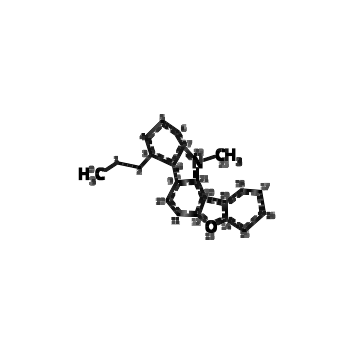 CCCc1cccc2c1c1ccc3oc4ccccc4c3c1n2C